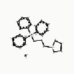 [Br-].c1ccc([P+](CCCN2CCCC2)(c2ccccc2)c2ccccc2)cc1